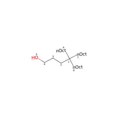 CCCCCCCCC(CCCO)(CCCCCCCC)CCCCCCCC